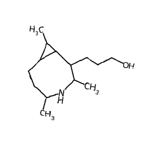 CC1CCC2C(C)C2C(CCCO)C(C)N1